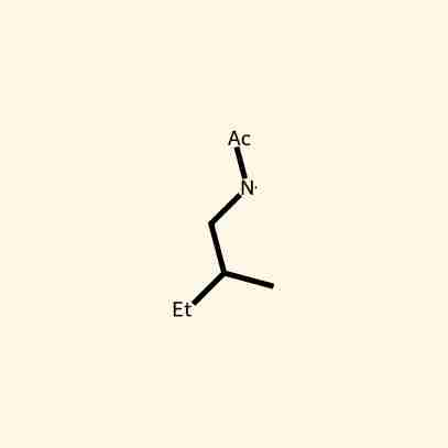 CCC(C)C[N]C(C)=O